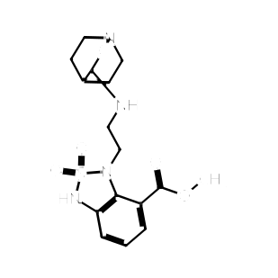 COC(=O)c1cccc2c1N(CCNC1CN3CCC1CC3)S(=O)(=O)N2